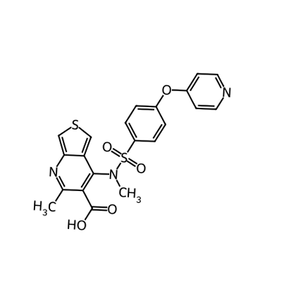 Cc1nc2cscc2c(N(C)S(=O)(=O)c2ccc(Oc3ccncc3)cc2)c1C(=O)O